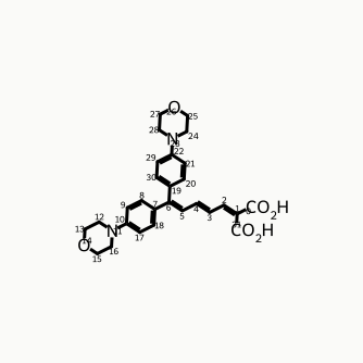 O=C(O)C(=C/C=C/C=C(c1ccc(N2CCOCC2)cc1)c1ccc(N2CCOCC2)cc1)C(=O)O